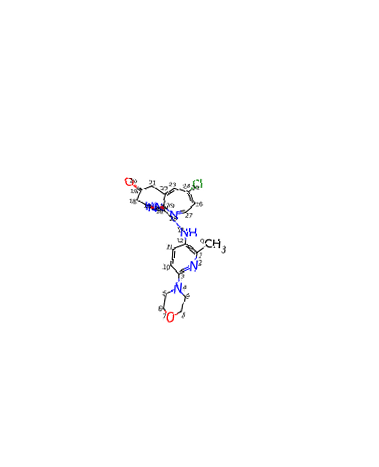 Cc1nc(N2CCOCC2)ccc1NC1=NC=C2CC(=O)CC3=CC(Cl)=CC=NC23N1